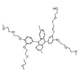 COCCOCCOc1ccc(-c2c3ccc(C)cc3c(-c3ccc(OCCOCCOC)c(OCCOCCOC)c3)c3ccc(C)cc23)cc1COCCOCCO